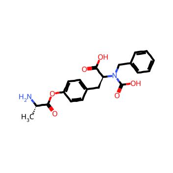 C[C@H](N)C(=O)Oc1ccc(C[C@@H](C(=O)O)N(Cc2ccccc2)C(=O)O)cc1